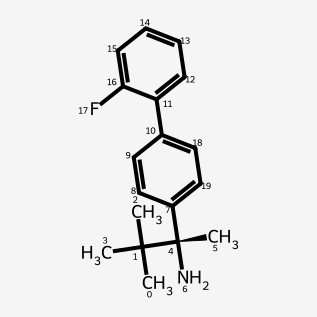 CC(C)(C)[C@@](C)(N)c1ccc(-c2ccccc2F)cc1